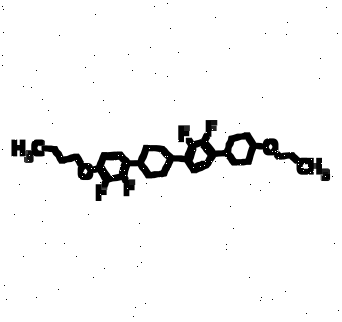 CCCCOc1ccc(C2CCC(c3ccc(C4CCC(OCCC)CC4)c(F)c3F)CC2)c(F)c1F